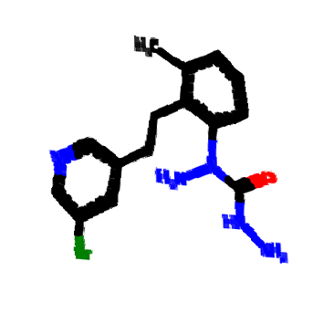 Cc1cccc(N(N)C(=O)NN)c1CCc1cncc(Br)c1